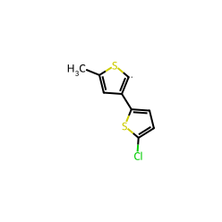 Cc1cc(-c2ccc(Cl)s2)[c]s1